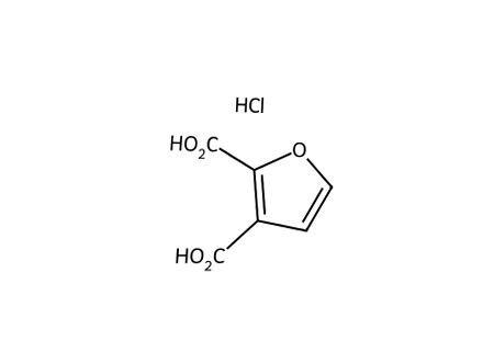 Cl.O=C(O)c1ccoc1C(=O)O